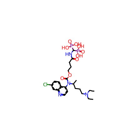 CCN(CC)CCCC(C)N(C(=O)OCCCC(=O)NC(P(=O)(O)O)P(=O)(O)O)c1ccnc2cc(Cl)ccc12